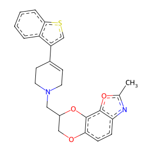 Cc1nc2ccc3c(c2o1)OC(CN1CC=C(c2csc4ccccc24)CC1)CO3